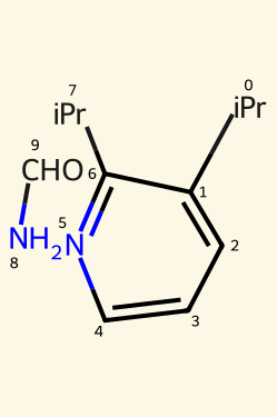 CC(C)c1cccnc1C(C)C.NC=O